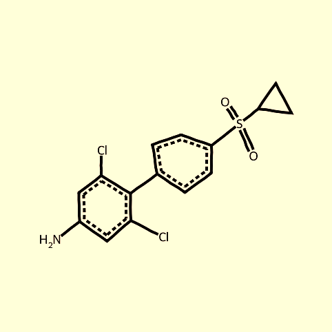 Nc1cc(Cl)c(-c2ccc(S(=O)(=O)C3CC3)cc2)c(Cl)c1